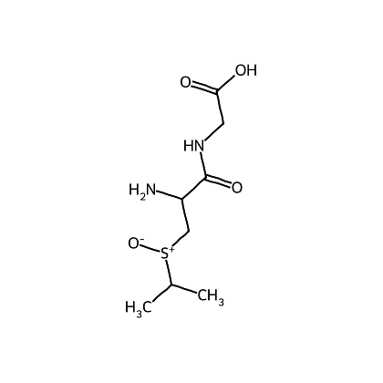 CC(C)[S+]([O-])CC(N)C(=O)NCC(=O)O